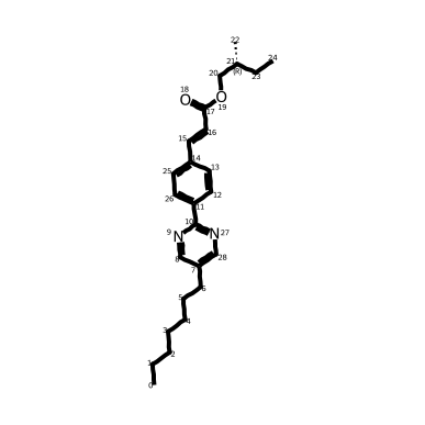 CCCCCCCc1cnc(-c2ccc(C=CC(=O)OC[C@H](C)CC)cc2)nc1